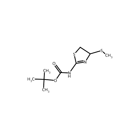 CSC1CSC(NC(=O)OC(C)(C)C)=N1